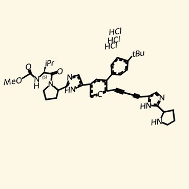 COC(=O)N[C@H](C(=O)N1CCCC1c1ncc(-c2ccc(C#CC#Cc3cnc(C4CCCN4)[nH]3)c(-c3ccc(C(C)(C)C)cc3)c2)[nH]1)C(C)C.Cl.Cl.Cl